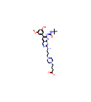 COc1cc(OC)cc(-c2cc3cnc(NCCCN4CCN(CCCC(=O)O)CC4)nc3nc2NC(=O)NC(C)(C)C)c1